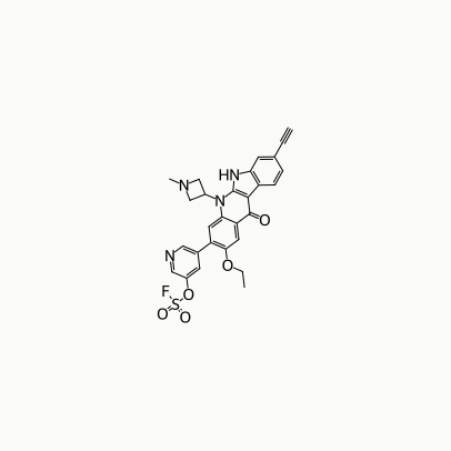 C#Cc1ccc2c(c1)[nH]c1c2c(=O)c2cc(OCC)c(-c3cncc(OS(=O)(=O)F)c3)cc2n1C1CN(C)C1